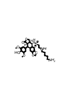 COc1cc(C2c3cc4c(cc3[C@@H](NS(=O)(=O)CCNCCCCCN)[C@H]3COC(=O)[C@H]23)OCO4)cc(OC)c1O